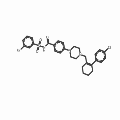 O=C(NS(=O)(=O)c1cccc(Br)c1)c1ccc(N2CCN(CC3=C(c4ccc(Cl)cc4)CCCC3)CC2)cc1